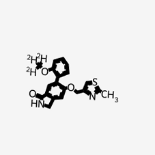 [2H]C([2H])([2H])Oc1ccccc1-c1cc2c(cc1OCc1csc(C)n1)CNC2=O